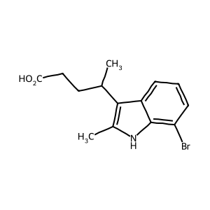 Cc1[nH]c2c(Br)cccc2c1C(C)CCC(=O)O